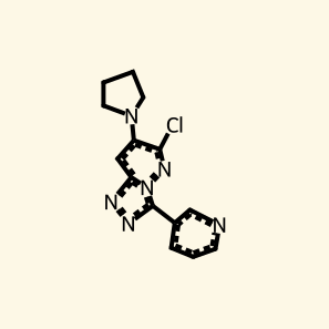 Clc1nn2c(-c3cccnc3)nnc2cc1N1CCCC1